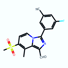 Cc1c(S(C)(=O)=O)ccn2c(-c3cc(F)cc(C#N)c3)nc(C=O)c12